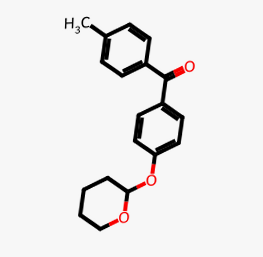 Cc1ccc(C(=O)c2ccc(OC3CCCCO3)cc2)cc1